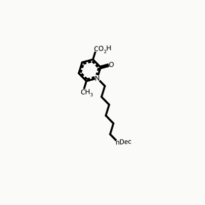 CCCCCCCCCCCCCCCCn1c(C)ccc(C(=O)O)c1=O